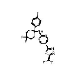 Fc1ccc(C2(Nc3ncc(-c4nnc(C(F)F)o4)cn3)CCC(F)(F)CC2)cc1